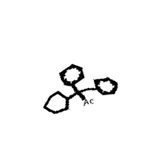 CC(=O)C(c1ccccc1)(c1ccccc1)C1CCCCC1